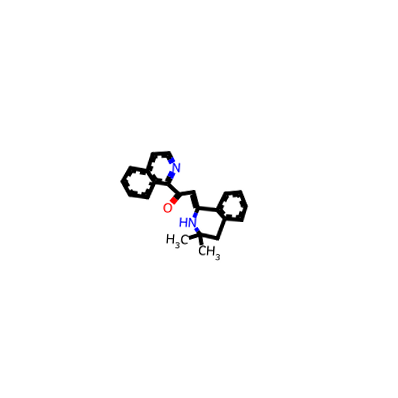 CC1(C)Cc2ccccc2/C(=C/C(=O)c2nccc3ccccc23)N1